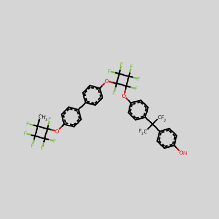 CC1(F)C(F)(F)C(F)(F)C1(F)Oc1ccc(-c2ccc(OC3(F)C(F)(F)C(F)(F)C3(F)Oc3ccc(C(c4ccc(O)cc4)(C(F)(F)F)C(F)(F)F)cc3)cc2)cc1